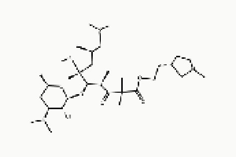 CO[C@](C)(C[C@@H](C)CN(C)C)[C@H](O[C@@H]1O[C@H](C)C[C@H](N(C)C)[C@H]1O)[C@@H](C)C(=O)C(C)(C)C(=O)OCC[C@@H]1CCN(C)C1